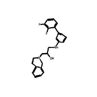 OC(CNc1cccc(-c2cccc(F)c2F)c1)CN1CCc2ccccc2C1